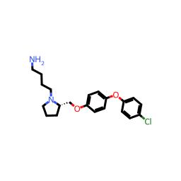 NCCCCN1CCC[C@H]1COc1ccc(Oc2ccc(Cl)cc2)cc1